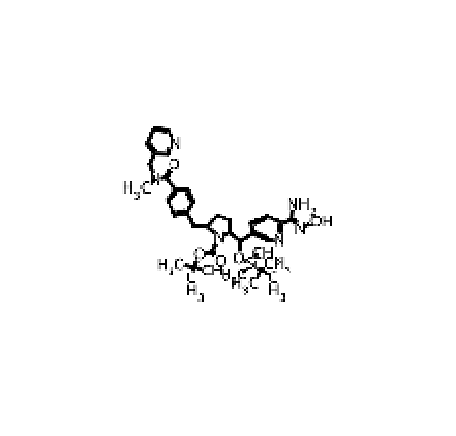 CN(Cc1cccnc1)C(=O)c1ccc(CC2CCC(C(O[Si](C)(C)C(C)(C)C)c3ccc(/C(N)=N/O)nc3)N2C(=O)OC(C)(C)C)cc1